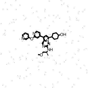 COC[C@H](C)Nc1ncc2c(-c3ccnc(Oc4cccnc4)c3)cc(C3CCC(O)CC3)n2n1